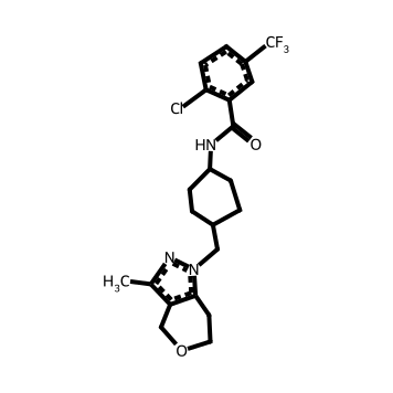 Cc1nn(CC2CCC(NC(=O)c3cc(C(F)(F)F)ccc3Cl)CC2)c2c1COCC2